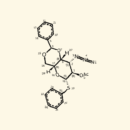 CC(=O)O[C@@H]1[C@@H](N=[N+]=[N-])[C@H]2OC(c3ccccc3)OC[C@H]2O[C@H]1Sc1ccccc1